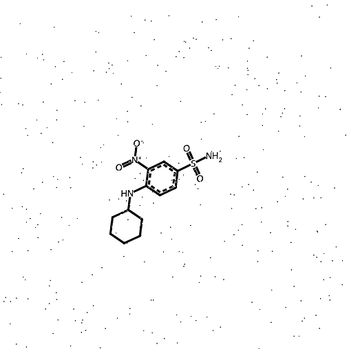 NS(=O)(=O)c1ccc(NC2CCCCC2)c([N+](=O)[O-])c1